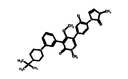 COc1c(-c2ccc(-n3ccn(C)c3=O)c(Cl)c2)cn(C)c(=O)c1-c1cccc(N2CCN(C(C)(C)C)CC2)c1